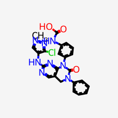 Cn1cc(Nc2ncc3c(n2)N(c2cccc(NC(=O)O)c2)C(=O)N(c2ccccc2)C3)c(Cl)n1